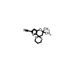 CC1(C)CC2(SCCCS2)c2sc(C#N)cc2O1